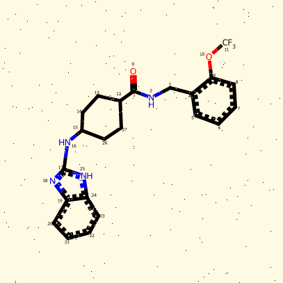 O=C(NCc1ccccc1OC(F)(F)F)C1CCC(Nc2nc3ccccc3[nH]2)CC1